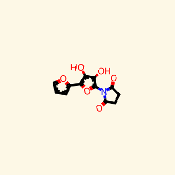 O=C1CCC(=O)N1c1oc(-c2ccco2)c(O)c1O